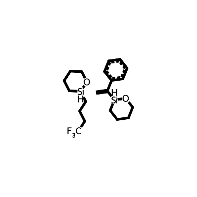 C=C(c1ccccc1)[SiH]1CCCCO1.FC(F)(F)CCC[SiH]1CCCCO1